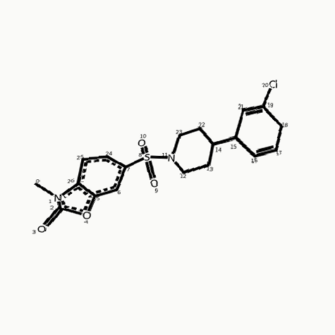 Cn1c(=O)oc2cc(S(=O)(=O)N3CCC(C4C=CCC(Cl)=C4)CC3)ccc21